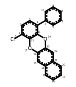 Clc1ccc(-c2ccccc2)c2c1Oc1cc3ccccc3cc1O2